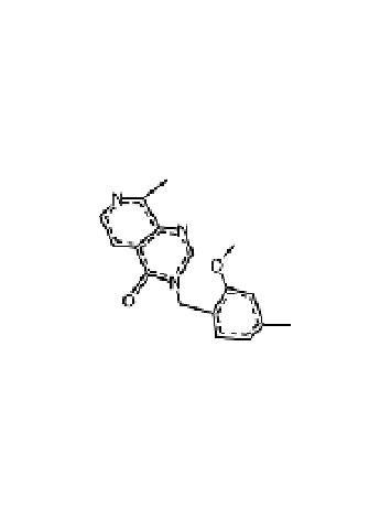 COc1cc(C)ccc1Cn1cnc2c(C)nccc2c1=O